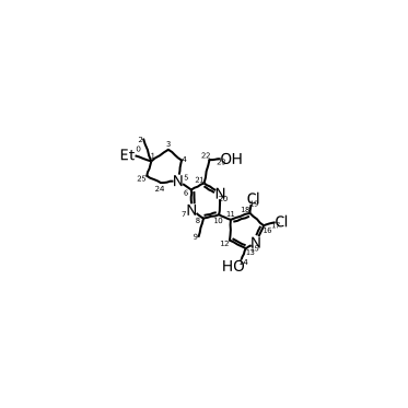 CCC1(C)CCN(c2nc(C)c(-c3cc(O)nc(Cl)c3Cl)nc2CO)CC1